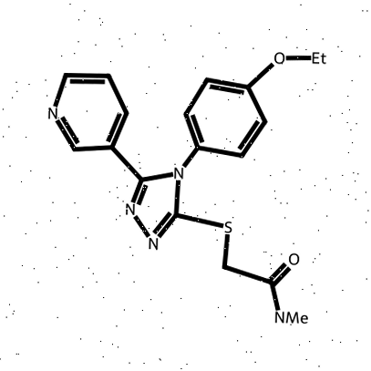 CCOc1ccc(-n2c(SCC(=O)NC)nnc2-c2cccnc2)cc1